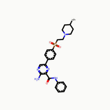 CCCC1CCN(CCS(=O)(=O)c2ccc(-c3cnc(N)c(C(=O)Nc4ccccc4)n3)cc2)CC1